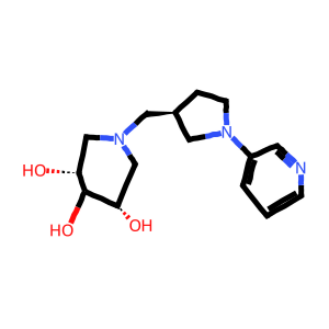 OC1[C@H](O)CN(C[C@H]2CCN(c3cccnc3)C2)C[C@@H]1O